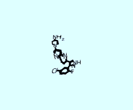 NC1CCN(c2cnc3ccc(-c4c[nH]nc4-c4cc(Cl)ccc4F)nc3c2)CC1